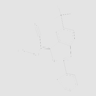 N#C/C(NN)=C(/N)c1cc(C(F)(F)F)ccc1/C=C/c1ccccc1